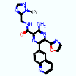 CC(C)n1ncnc1CNC(=O)c1nc(-c2ccc3ncccc3c2)c(-c2ncco2)nc1N